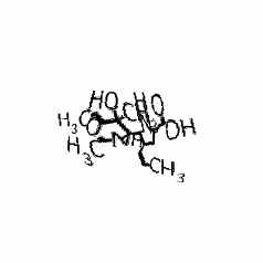 C/C=C\[C@@H]1C[C@H](C(=O)O)N[C@H]1[C@@H](NC(C)=O)[C@@](C)(O)CCC